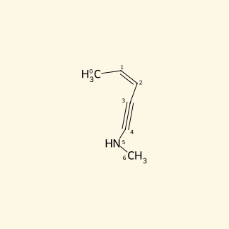 C/C=C\C#CNC